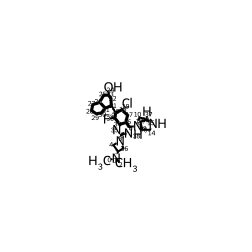 CN(C)C1CN(c2nc(N3C[C@H]4C[C@@H]3CN4)c3cc(Cl)c(-c4cc(O)cc5ccccc45)c(F)c3n2)C1